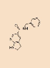 O=C(NCc1ccccc1)c1cnc2c(c1)CCN2